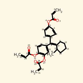 C=CC(=O)Oc1ccc(/C(=C2\CCCCC2C)c2ccc(OC(=O)C=C)c(OC(=O)C=C)c2)cc1